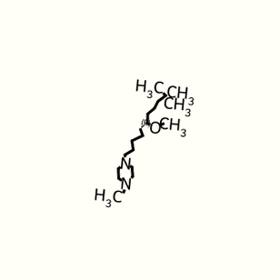 CCN1CCN(CCCCC[C@H](CCCC(C)(C)C)OC)CC1